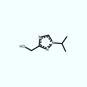 CC(C)n1cnc(CO)n1